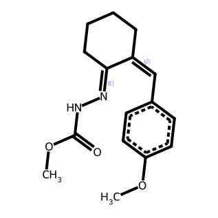 COC(=O)N/N=C1\CCCC\C1=C\c1ccc(OC)cc1